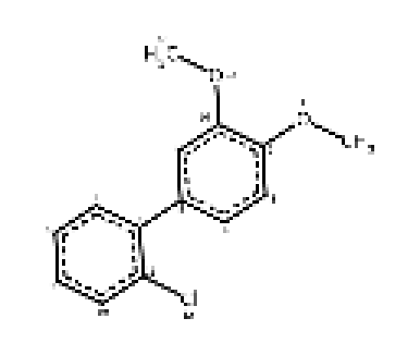 COc1ccc(-c2ccccc2Cl)cc1OC